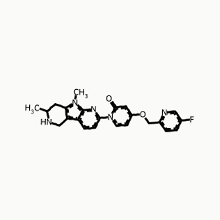 CC1Cc2c(c3ccc(-n4ccc(OCc5ccc(F)cn5)cc4=O)nc3n2C)CN1